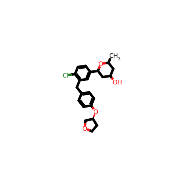 CC1CC(O)CC(c2ccc(Cl)c(Cc3ccc(O[C@H]4CCOC4)cc3)c2)O1